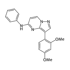 COc1ccc(-c2cnn3ccc(Nc4ccccc4)nc23)c(OC)c1